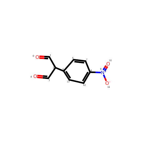 O=CC(C=O)c1ccc([N+](=O)[O-])cc1